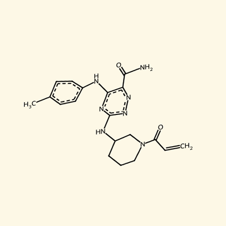 C=CC(=O)N1CCCC(Nc2nnc(C(N)=O)c(Nc3ccc(C)cc3)n2)C1